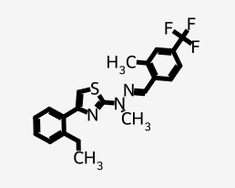 CCc1ccccc1-c1csc(N(C)/N=C/c2ccc(C(F)(F)F)cc2C)n1